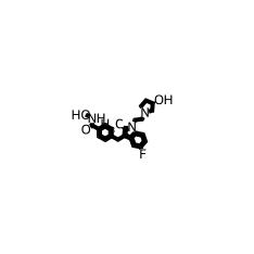 Cc1c(Cc2ccc(C(=O)NO)cc2)c2cc(F)ccc2n1CCN1CC[C@H](O)C1